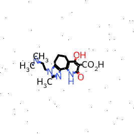 Cc1nc2c(n1CCN(C)C)CCCc1c-2[nH]c(=O)c(C(=O)O)c1O